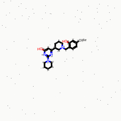 COc1ccc(CN2CCCC(c3cc(O)nc(N4CCCCC4)n3)C2)c(O)c1